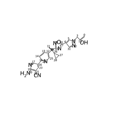 C=C(O)Cn1cc(-c2nc([C@@](C)(c3ccc(-c4cnc(N)c(C#N)c4)nc3)C3CC3)no2)cn1